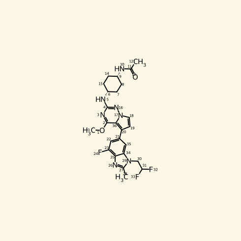 COc1nc(N[C@H]2CC[C@@H](NC(C)=O)CC2)nn2ccc(-c3cc(F)c4nc(C)n(CC(F)F)c4c3)c12